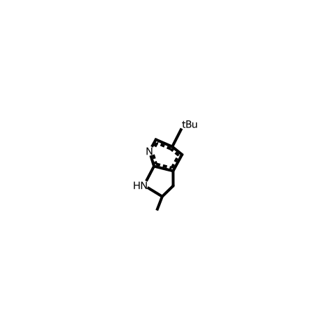 CC1Cc2cc(C(C)(C)C)cnc2N1